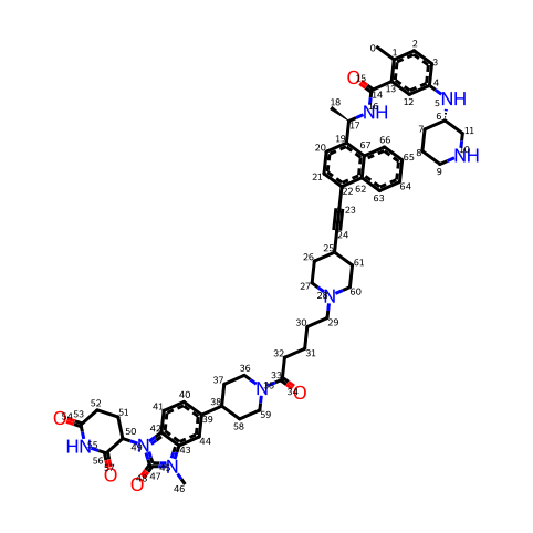 Cc1ccc(N[C@H]2CCCNC2)cc1C(=O)N[C@H](C)c1ccc(C#CC2CCN(CCCCC(=O)N3CCC(c4ccc5c(c4)n(C)c(=O)n5C4CCC(=O)NC4=O)CC3)CC2)c2ccccc12